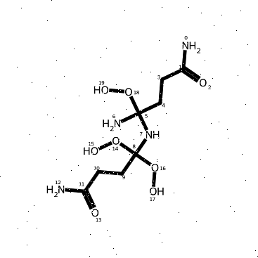 NC(=O)CCC(N)(NC(CCC(N)=O)(OO)OO)OO